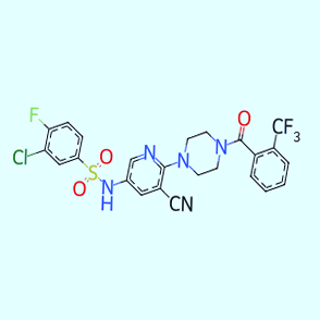 N#Cc1cc(NS(=O)(=O)c2ccc(F)c(Cl)c2)cnc1N1CCN(C(=O)c2ccccc2C(F)(F)F)CC1